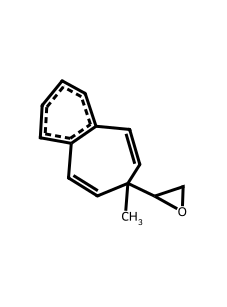 CC1(C2CO2)C=Cc2ccccc2C=C1